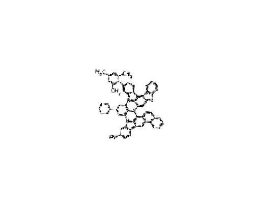 Cc1cc(C)c(-c2ccc3c4c5c(cc6c4n(c3c2)-c2cc(-c3ccccc3)cc3c2B6c2c4ccc6ccccc6c4cc4c6ccc(C(C)C)cc6n-3c24)sc2ccccc25)c(C)c1